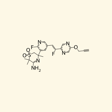 C#CCOc1cnc(C(F)=Cc2cnc(F)c(C3(C)CS(=O)(=O)C(C)(C)C(N)=N3)c2)cn1